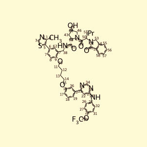 Cc1ncsc1-c1ccc(OCCCCOc2cccc(-c3cc(Nc4ccc(OC(F)(F)F)cc4)ncn3)c2)c(CNC(=O)[C@@H]2C[C@@H](O)CN2C(=O)C(C(C)C)N2Cc3ccccc3C2=O)c1